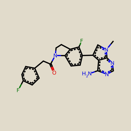 Cn1cc(-c2ccc3c(c2F)CCN3C(=O)Cc2ccc(F)cc2)c2c(N)ncnc21